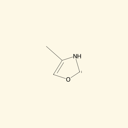 CC1=CO[C]N1